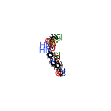 O=C(Nc1ccc(-n2ccc3cc(C4=NCCO4)ccc3c2=O)c(Cl)c1)NS(=O)(=O)c1ccc(Cl)s1